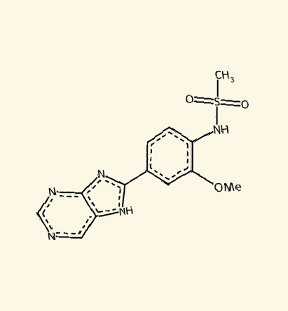 COc1cc(-c2nc3ncncc3[nH]2)ccc1NS(C)(=O)=O